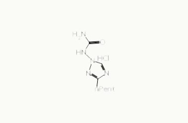 CCCCCc1ncn(NC(N)=O)n1.Cl